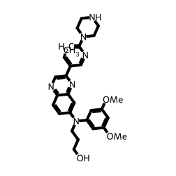 C=C(/N=C\C(=C/C)c1cnc2ccc(N(CCCO)c3cc(OC)cc(OC)c3)cc2n1)N1CCNCC1